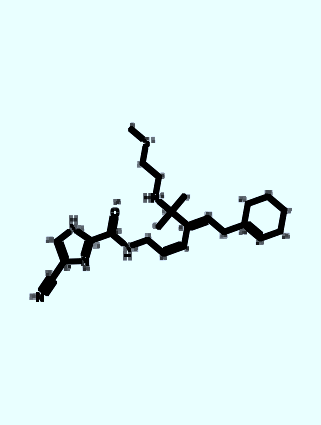 CSCCNC(C)(C)C(/C=C\CNC(=O)c1nc(C#N)c[nH]1)=C/CC1=CCCCC1